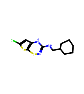 Clc1cc2c(s1)SN=C(NCC1CCCCC1)N2